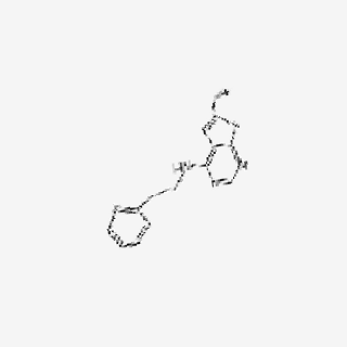 CCCc1cc2c(NCCc3ccccc3)ncnc2s1